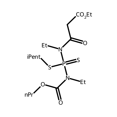 CCCOC(=O)N(CC)P(=S)(SC(C)CCC)N(CC)C(=O)CC(=O)OCC